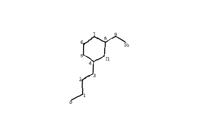 CCCCC1CCCC(CC)C1